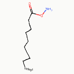 CCCCCCCCCCCCCCC(=O)ON